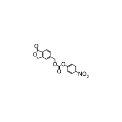 O=C(OCc1ccc2c(c1)COC2=O)Oc1ccc([N+](=O)[O-])cc1